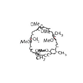 COc1cc2ccc3cc(C)c(ccc4cc(OC)c(ccc5cc(OC)c(ccc6cc(C)c(ccc1cc2C)cc6OC)cc5C)cc4OC)cc3OC